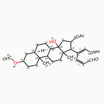 CO/C=C(\C=C/C=O)C1C(OC(C)=O)CC2(O)[C@@H]3CCC4CC(OC=O)CCC4(C)C3CCC12C